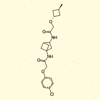 C[C@H]1C[C@H](OCC(=O)NC2CC3(NC(=O)COc4ccc(Cl)cc4)CC2C3)C1